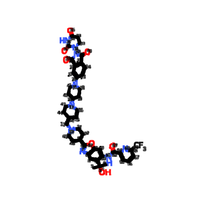 CC(C)(O)c1cc2nc(C3CCN(CC4CCN(C5CCN(c6ccc7c(c6)C(=O)N(N6CCC(=O)NC6=O)C7=O)CC5)CC4)CC3)oc2cc1NC(=O)c1cccc(C(F)(F)F)n1